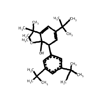 COC1(O)C(C(C)(C)C)=CC(C(C)(C)C)=CC1c1cc(C(C)(C)C)cc(C(C)(C)C)c1